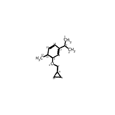 CC(C)C1=CC(OCC2CC2)C(C)C=C1